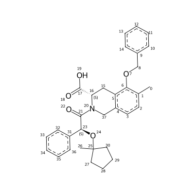 Cc1ccc2c(c1OCc1ccccc1)C[C@@H](C(=O)O)N(C(=O)[C@@H](OC1(C)CCCC1)c1ccccc1)C2